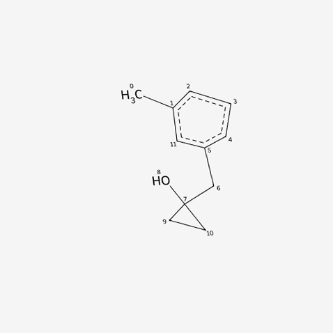 Cc1cccc(CC2(O)CC2)c1